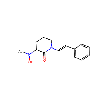 CC(=O)N(O)C1CCCN(C=Cc2ccccc2)C1=O